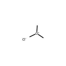 C[O+](C)C.[Cl-]